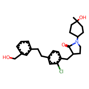 CC1(O)CCC(N2CCC(Cc3ccc(CCc4cccc(CO)c4)cc3Cl)C2=O)CC1